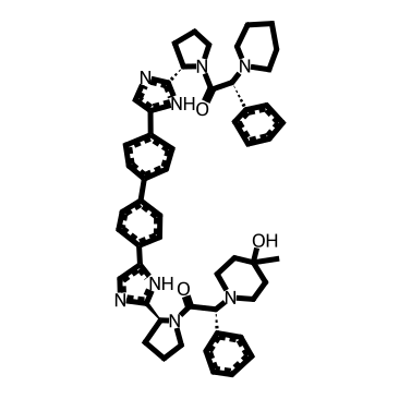 CC1(O)CCN([C@@H](C(=O)N2CCC[C@H]2c2ncc(-c3ccc(-c4ccc(-c5cnc([C@@H]6CCCN6C(=O)[C@@H](c6ccccc6)N6CCCCC6)[nH]5)cc4)cc3)[nH]2)c2ccccc2)CC1